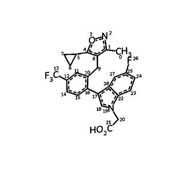 Cc1noc(C2CC2)c1Cc1cc(C(F)(F)F)ccc1-c1cn(CC(=O)O)c2ccc(F)cc12